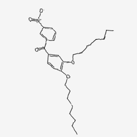 CCCCCCCCOc1ccc(C(=O)c2cccc([N+](=O)[O-])c2)cc1OCCCCCCCC